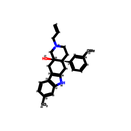 C=CCN1CC[C@@]2(c3cccc(OC)c3)Cc3[nH]c4cc([N+](=O)[O-])ccc4c3C[C@]2(O)C1